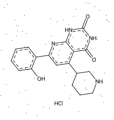 Cl.O=c1[nH]c(=O)c2c(C3CCCNC3)cc(-c3ccccc3O)nc2[nH]1